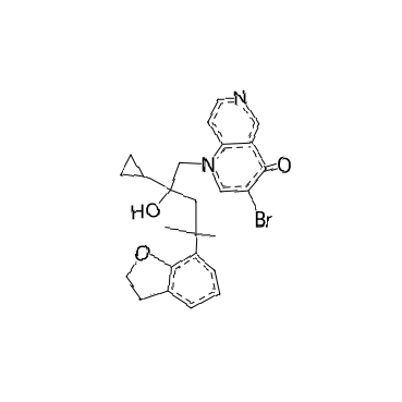 CC(C)(CC(O)(Cn1cc(Br)c(=O)c2cnccc21)C1CC1)c1cccc2c1OCC2